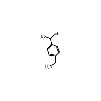 CC[C](CC)c1ccc(CN)cc1